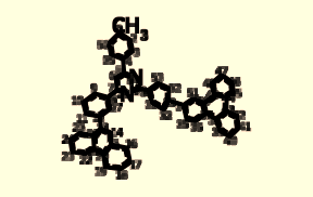 Cc1ccc(-c2cc(-c3cccc(-c4cc5ccccc5c5ccccc45)c3)nc(-c3ccc(-c4ccc5c6ccccc6c6ccccc6c5c4)cc3)n2)cc1